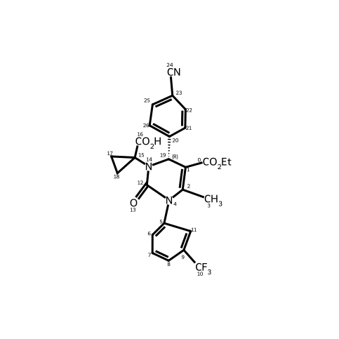 CCOC(=O)C1=C(C)N(c2cccc(C(F)(F)F)c2)C(=O)N(C2(C(=O)O)CC2)[C@@H]1c1ccc(C#N)cc1